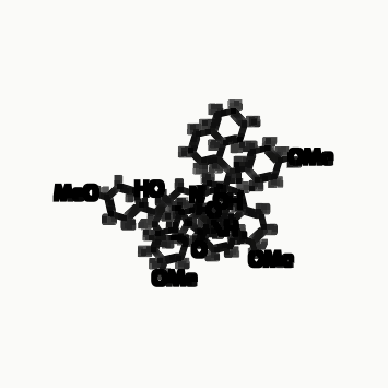 COc1ccc(CC(O)(CN(CC(O)(Cc2ccc(OC)cc2)C(c2ccc(OC)cc2)c2cccc3ccccc23)C(=O)C2(C(N)=O)CCCCC2)C(c2ccc(OC)cc2)c2cccc3ccccc23)cc1